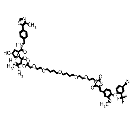 COc1cc(/C=C2\SC(=O)N(CCOCCOCCCCOCCCCOCCOCC(=O)O[C@H](C(=O)N3C[C@H](O)CC3C(=O)NCc3ccc(-c4scnc4C)cc3)C(C)(C)C)C2=O)ccc1Oc1ccc(C#N)cc1C(F)(F)F